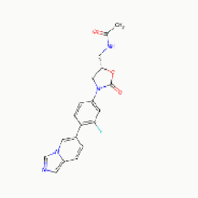 CC(=O)NC[C@H]1CN(c2ccc(-c3ccc4cncn4c3)c(F)c2)C(=O)O1